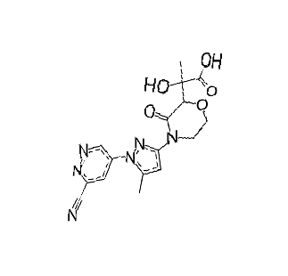 Cc1cc(N2CCOC(C(C)(O)C(=O)O)C2=O)nn1-c1cnnc(C#N)c1